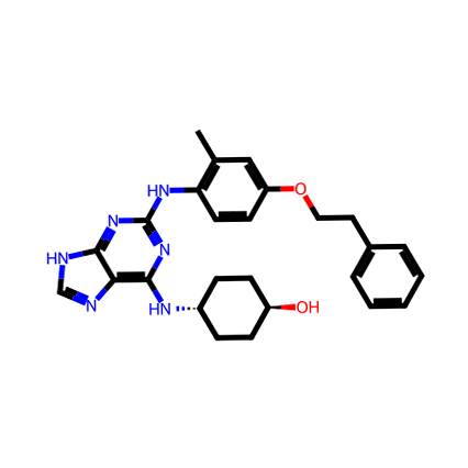 Cc1cc(OCCc2ccccc2)ccc1Nc1nc(N[C@H]2CC[C@H](O)CC2)c2nc[nH]c2n1